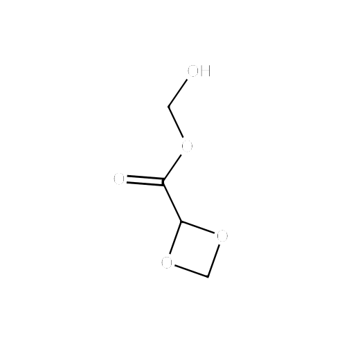 O=C(OCO)C1OCO1